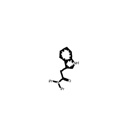 CC(C)N(C(=O)Cc1c[nH]c2ccccc12)C(C)C